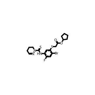 O=C(CSc1cc(NC(=S)N2CCCC=N2)c(F)cc1Br)OC1CCCC1